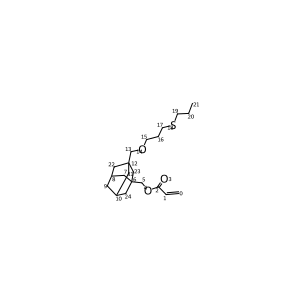 C=CC(=O)OCC12CC3CC(CC(COCCCSCCC)(C3)C1)C2